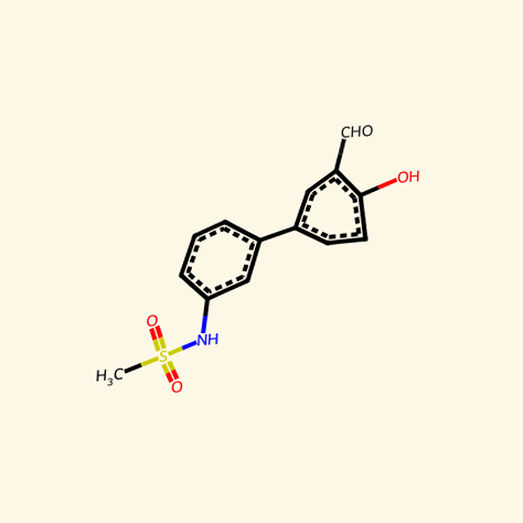 CS(=O)(=O)Nc1cccc(-c2ccc(O)c(C=O)c2)c1